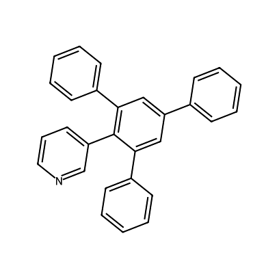 c1ccc(-c2cc(-c3ccccc3)c(-c3cccnc3)c(-c3ccccc3)c2)cc1